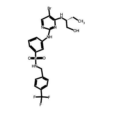 CC[C@H](CO)Nc1nc(Nc2cccc(S(=O)(=O)NCc3ccc(C(F)(F)F)cc3)c2)ncc1Br